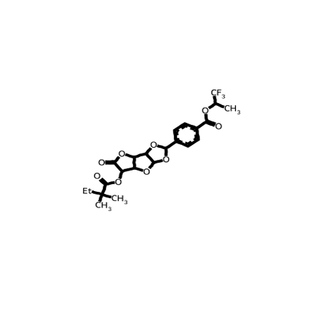 CCC(C)(C)C(=O)OC1C(=O)OC2C3OC(c4ccc(C(=O)OC(C)C(F)(F)F)cc4)OC3OC12